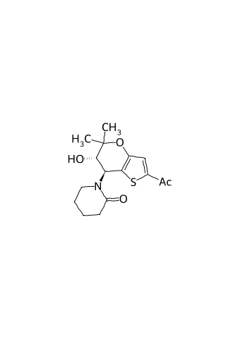 CC(=O)c1cc2c(s1)[C@@H](N1CCCCC1=O)[C@H](O)C(C)(C)O2